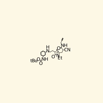 C#CCNC(=O)C(C#N)CC1SC(CCNc2cccc(NC(=O)OC(C)(C)C)c2)C(=O)N1CC